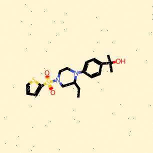 CCC1CN(S(=O)(=O)c2cccs2)CCN1c1ccc(C(C)(C)O)cc1